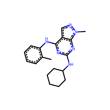 Cc1ccccc1Nc1nc(NC2CCCCC2)nc2c1cnn2C